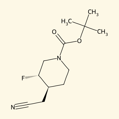 CC(C)(C)OC(=O)N1CC[C@@H](CC#N)[C@H](F)C1